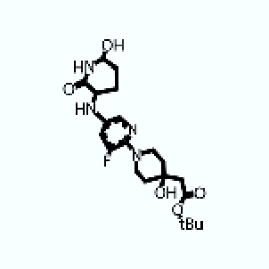 CC(C)(C)OC(=O)CC1(O)CCN(c2ncc(NC3CCC(O)NC3=O)cc2F)CC1